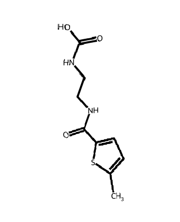 Cc1ccc(C(=O)NCCNC(=O)O)s1